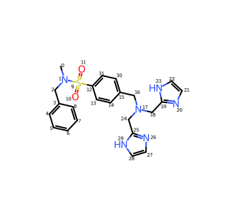 CN(Cc1ccccc1)S(=O)(=O)c1ccc(CN(Cc2ncc[nH]2)Cc2ncc[nH]2)cc1